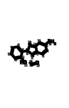 Nc1ccc2nn(-c3ccccc3O)nc2c1.[O]=[Ti]